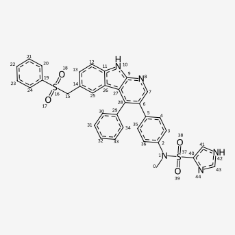 CN(c1ccc(-c2cnc3[nH]c4ccc(CS(=O)(=O)c5ccccc5)cc4c3c2-c2ccccc2)cc1)S(=O)(=O)c1c[nH]cn1